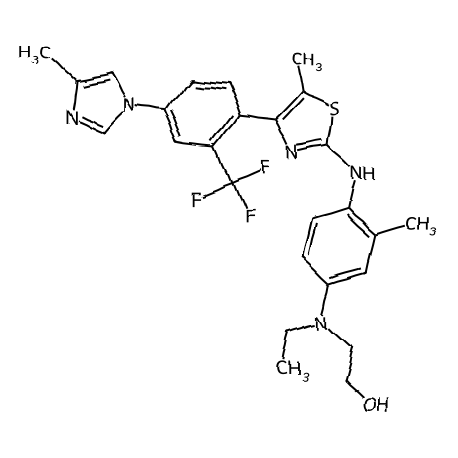 CCN(CCO)c1ccc(Nc2nc(-c3ccc(-n4cnc(C)c4)cc3C(F)(F)F)c(C)s2)c(C)c1